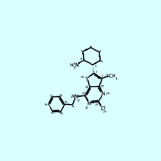 Cc1c([C@H]2CCCC[C@@H]2N)sc2c(NCc3ccccc3)nc(Cl)nc12